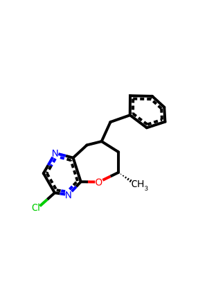 C[C@H]1CC(Cc2ccccc2)Cc2ncc(Cl)nc2O1